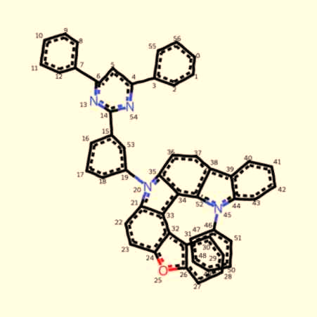 c1ccc(-c2cc(-c3ccccc3)nc(-c3cccc(-n4c5ccc6oc7ccccc7c6c5c5c4ccc4c6ccccc6n(-c6ccccc6)c45)c3)n2)cc1